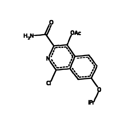 CC(=O)Oc1c(C(N)=O)nc(Cl)c2cc(OC(C)C)ccc12